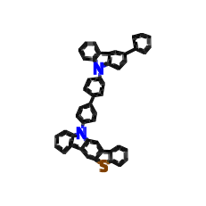 c1ccc(-c2ccc3c(c2)c2ccccc2n3-c2ccc(-c3ccc(-n4c5ccccc5c5cc6sc7ccccc7c6cc54)cc3)cc2)cc1